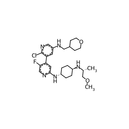 COC[C@@H](C)N[C@H]1CC[C@H](Nc2cc(-c3cc(NCC4CCOCC4)cnc3Cl)c(F)cn2)CC1